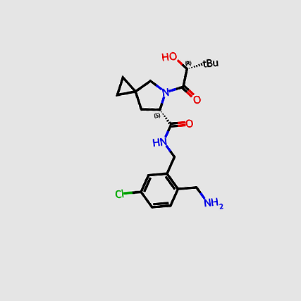 CC(C)(C)[C@@H](O)C(=O)N1CC2(CC2)C[C@H]1C(=O)NCc1cc(Cl)ccc1CN